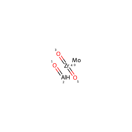 [Mo].[O]=[AlH].[O]=[Zr]=[O]